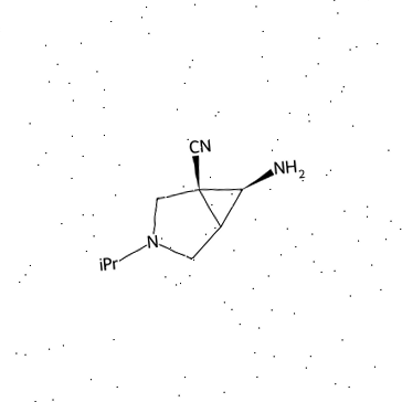 CC(C)N1CC2[C@H](N)[C@@]2(C#N)C1